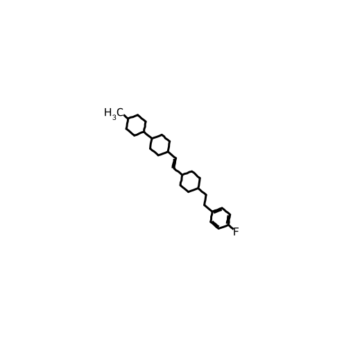 CC1CCC(C2CCC(C=CC3CCC(CCc4ccc(F)cc4)CC3)CC2)CC1